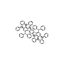 c1ccc(C(c2ccccc2)c2cc3c4c5c2c2cc6c(cc2n5-c2ccccc2B4c2ccccc2N3c2ccccc2)c2c(C(c3ccccc3)c3ccccc3)cc3c4c2n6-c2ccccc2B4c2ccccc2N3c2ccccc2)cc1